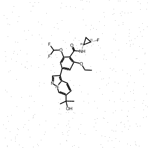 CCOc1cc(-c2cnn3cc(C(C)(C)O)ccc23)cc(OC(F)F)c1C(=O)N[C@@H]1C[C@@H]1F